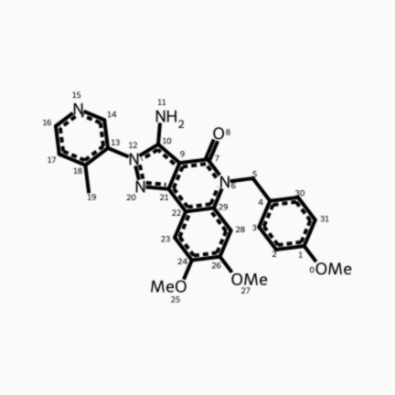 COc1ccc(Cn2c(=O)c3c(N)n(-c4cnccc4C)nc3c3cc(OC)c(OC)cc32)cc1